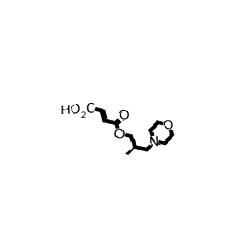 C[C@@H](COC(=O)/C=C/C(=O)O)CN1CCOCC1